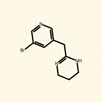 Brc1cncc(CC2=NCCCN2)c1